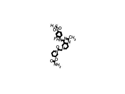 Cc1nc2c(c(Nc3ccc(S(C)(=O)=O)cc3F)n1)CN(CC(=O)N1CCC[C@@H](OC(N)=O)C1)CC2